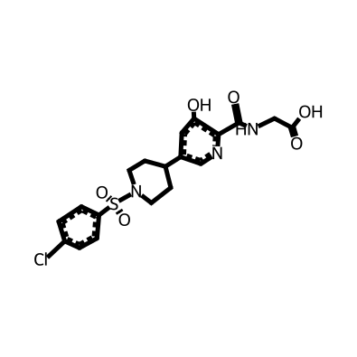 O=C(O)CNC(=O)c1ncc(C2CCN(S(=O)(=O)c3ccc(Cl)cc3)CC2)cc1O